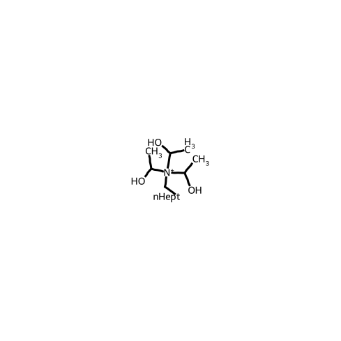 CCCCCCCC[N+](C(C)O)(C(C)O)C(C)O